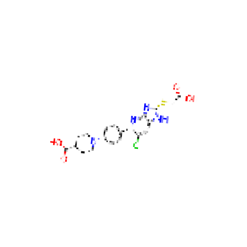 O=C(O)CSc1nc2nc(-c3ccc(N4CCC(C(=O)O)CC4)cc3)c(Cl)cc2[nH]1